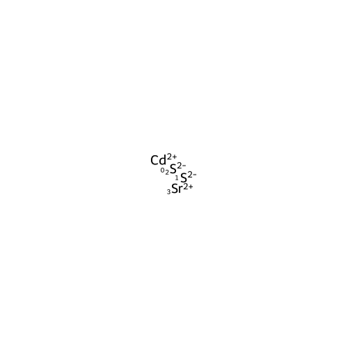 [Cd+2].[S-2].[S-2].[Sr+2]